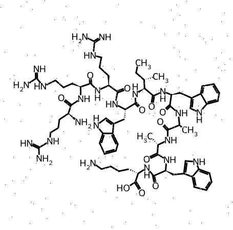 CC[C@H](C)[C@H](NC(=O)[C@H](Cc1c[nH]c2ccccc12)NC(=O)[C@H](CCCNC(=N)N)NC(=O)[C@H](CCCNC(=N)N)NC(=O)[C@@H](N)CCCNC(=N)N)C(=O)N[C@@H](Cc1c[nH]c2ccccc12)C(=O)N[C@@H](C)C(=O)N[C@@H](C)C(=O)N[C@@H](Cc1c[nH]c2ccccc12)C(=O)N[C@@H](CCCCN)C(=O)O